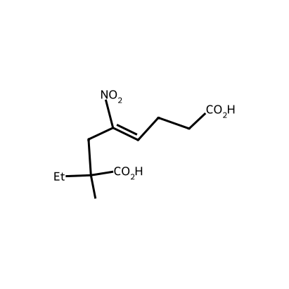 CCC(C)(CC(=CCCC(=O)O)[N+](=O)[O-])C(=O)O